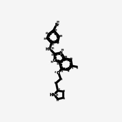 Cc1cc(OCCC2CCCN2)c2oc(Nc3ccc(Br)cc3)nc2c1